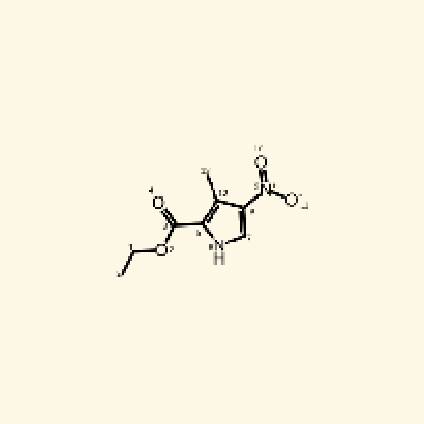 CCOC(=O)c1[nH]cc([N+](=O)[O-])c1C